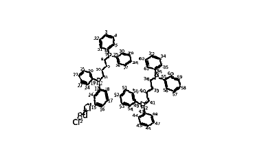 [Cl][Pd][Cl].c1ccc(P(CCCCP(c2ccccc2)c2ccccc2)c2ccccc2)cc1.c1ccc(P(CCCCP(c2ccccc2)c2ccccc2)c2ccccc2)cc1